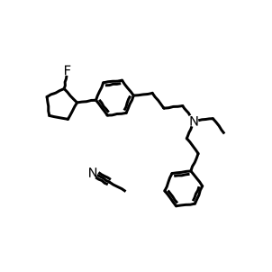 CC#N.CCN(CCCc1ccc(C2CCCC2F)cc1)CCc1ccccc1